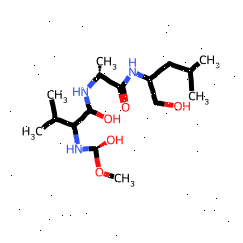 CO[C@H](O)NC(C(C)C)C(O)N[C@H](C)C(=O)NC(CO)CC(C)C